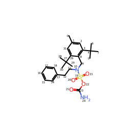 Cc1cc(C(C)(C)C)c(CN(CCc2ccccc2)S(=O)(=O)OC(N)=O)c(C(C)(C)C)c1